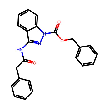 O=C(Cc1ccccc1)Nc1nn(C(=O)OCc2ccccc2)c2ccccc12